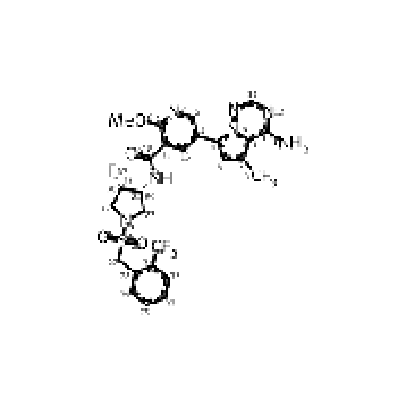 COc1ncc(-c2cc(C(F)(F)F)c3c(N)ncnn23)cc1C(=O)N[C@@H]1CN(S(=O)(=O)Cc2ccccc2C(F)(F)F)C[C@@H]1F